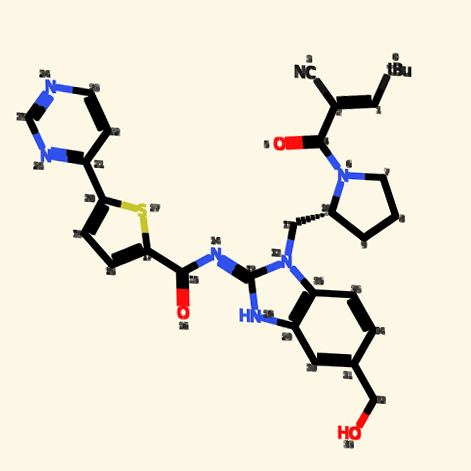 CC(C)(C)/C=C(\C#N)C(=O)N1CCC[C@@H]1Cn1/c(=N/C(=O)c2ccc(-c3ccncn3)s2)[nH]c2cc(CO)ccc21